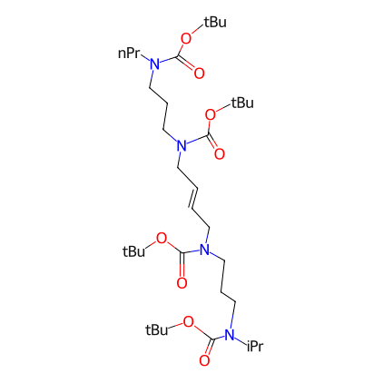 CCCN(CCCN(CC=CCN(CCCN(C(=O)OC(C)(C)C)C(C)C)C(=O)OC(C)(C)C)C(=O)OC(C)(C)C)C(=O)OC(C)(C)C